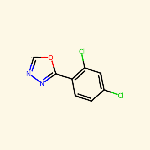 Clc1ccc(-c2nn[c]o2)c(Cl)c1